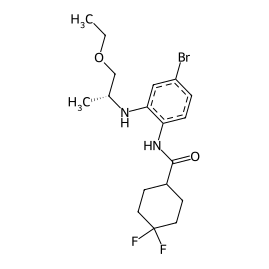 CCOC[C@@H](C)Nc1cc(Br)ccc1NC(=O)C1CCC(F)(F)CC1